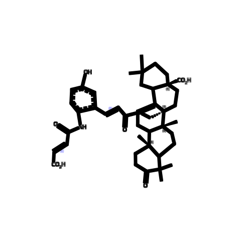 CC1(C)CC[C@]2(C(=O)O)CC[C@]3(COC(=O)/C=C/c4cc(O)ccc4NC(=O)/C=C/C(=O)O)C(=CCC4[C@@]5(C)CCC(=O)C(C)(C)C5CC[C@]43C)C2C1